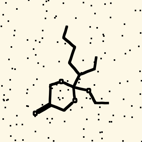 CCCCC(CC)C1(OCC)OCC(=O)CO1